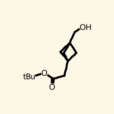 CC(C)(C)OC(=O)CC12CC(CO)(C1)C2